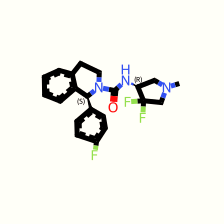 CN1C[C@@H](NC(=O)N2CCc3ccccc3[C@@H]2c2ccc(F)cc2)C(F)(F)C1